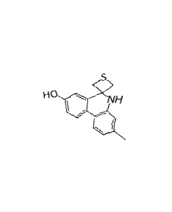 Cc1ccc2c(c1)NC1(CSC1)c1cc(O)ccc1-2